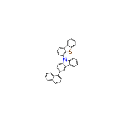 c1ccc2c(-c3ccc4c(c3)c3ccccc3n4-c3cccc4c3sc3ccccc34)cccc2c1